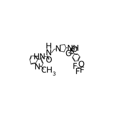 Cc1cc(NC(=O)NCCN2CCC(NS(=O)(=O)c3ccc(OC(F)(F)F)cc3)CC2)c2ccccc2n1